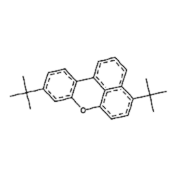 CC(C)(C)c1ccc2c(c1)Oc1ccc(C(C)(C)C)c3cccc-2c13